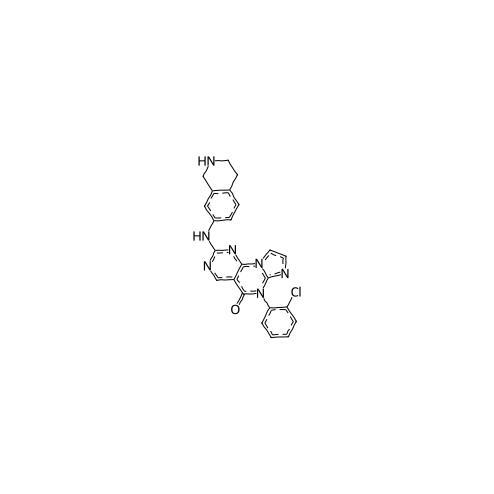 O=c1c2cnc(Nc3ccc4c(c3)CNCC4)nc2n2ccnc2n1-c1ccccc1Cl